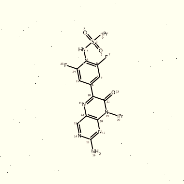 CCCS(=O)(=O)Nc1c(F)cc(-c2nc3cnc(N)nc3n(C(C)C)c2=O)cc1F